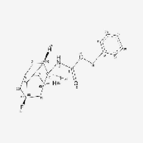 O=C(N[C@H]1[C@@H]2CC3C[C@H]1C[C@@](F)(C3)C2)OCc1ccccc1